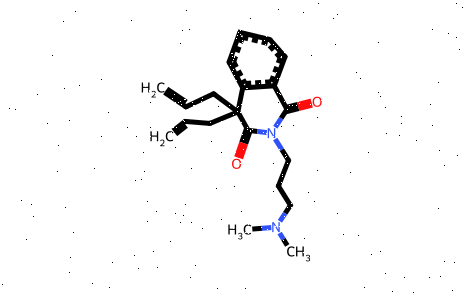 C=CCC1(CC=C)C(=O)N(CCCN(C)C)C(=O)c2ccccc21